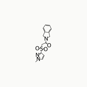 Cn1ccc(S(=O)(=O)CC(=O)N2Cc3ccccc3C2)n1